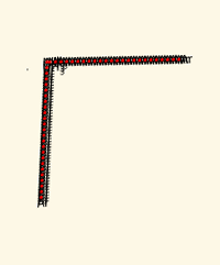 N.N.N.N.[Ar].[Ar].[Ar].[Ar].[Ar].[Ar].[Ar].[Ar].[Ar].[Ar].[Ar].[Ar].[Ar].[Ar].[Ar].[Ar].[Ar].[Ar].[Ar].[Ar].[Ar].[Ar].[Ar].[Ar].[Ar].[Ar].[Ar].[Ar].[Ar].[Ar].[Ar].[Ar].[Ar].[Ar].[Ar].[Ar].[Ar].[Ar].[Ar].[Ar].[Ar].[Ar].[Ar].[Ar].[Ar].[Ar].[Ar].[Ar].[Ar].[Ar].[Ar].[Ar].[Ar].[Ar].[Ar].[Ar].[Ar].[Ar].[Ar].[Ar].[Ar].[Ar].[Ar].[Ar].[Ar].[Ar].[Ar].[Ar].[Ar].[Ar].[Ar].[Ar].[Ar].[Ar].[Ar].[Ar].[Ar].[Ar].[Ar].[Ar].[Ar].[Ar].[Ar].[Ar].[Ar].[Ar].[Ar].[Ar].[Ar].[Ar].[Ar].[Ar].[Ar].[Ar].[Ar].[N]